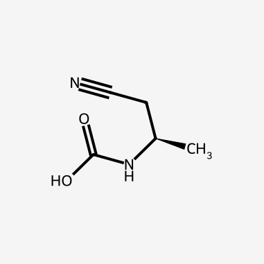 C[C@H](CC#N)NC(=O)O